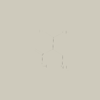 CC(O)C(CN)C(=O)O